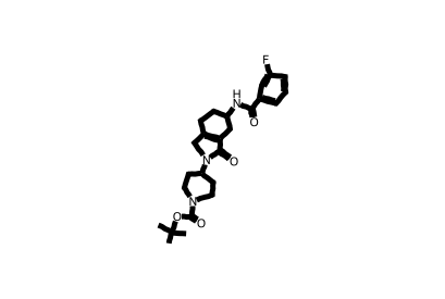 CC(C)(C)OC(=O)N1CCC(N2CC3=C(CC(NC(=O)c4cccc(F)c4)CC3)C2=O)CC1